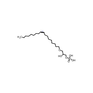 CCCCCCCC/C=C\CCCCCCCCOCC(O)COP(=O)(O)O